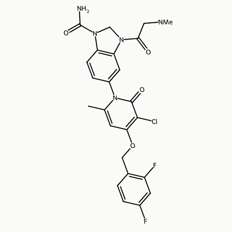 CNCC(=O)N1CN(C(N)=O)c2ccc(-n3c(C)cc(OCc4ccc(F)cc4F)c(Cl)c3=O)cc21